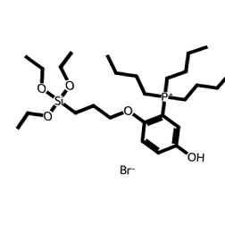 CCCC[P+](CCCC)(CCCC)c1cc(O)ccc1OCCC[Si](OCC)(OCC)OCC.[Br-]